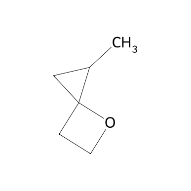 CC1CC12CCO2